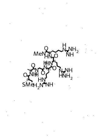 CNC(=O)[C@@H](CCCCNC(=N)N)NC(=O)[C@@H](CCCNC(=N)N)NC(=O)[C@@H](CCCNC(=N)N)NC(=O)CNC(=O)[C@H](C)NC(=O)[C@@H](C)CSC